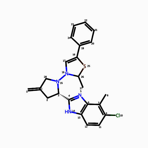 C=C1C[C@@H](c2nc3c(C)c(Cl)ccc3[nH]2)N(N2[C]=C(c3ccccc3)SC2C)C1